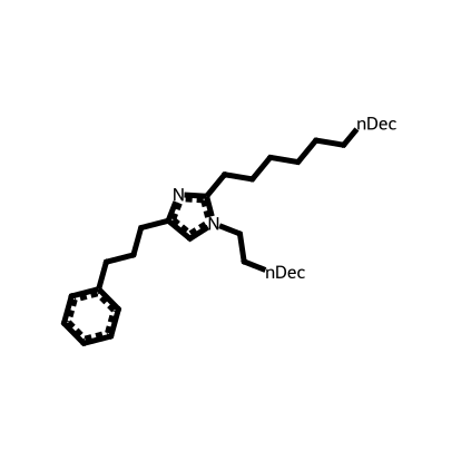 CCCCCCCCCCCCCCCCc1nc(CCCc2ccccc2)cn1CCCCCCCCCCCC